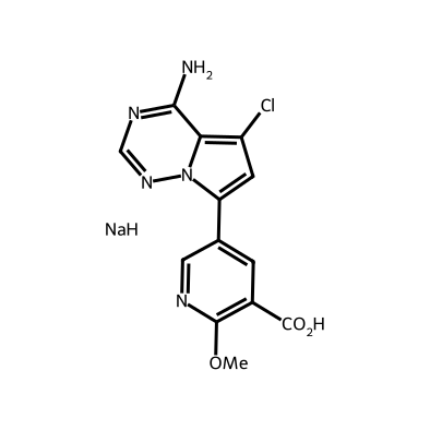 COc1ncc(-c2cc(Cl)c3c(N)ncnn23)cc1C(=O)O.[NaH]